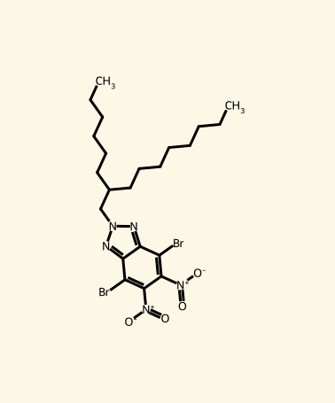 CCCCCCCCC(CCCCCC)Cn1nc2c(Br)c([N+](=O)[O-])c([N+](=O)[O-])c(Br)c2n1